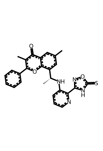 Cc1cc([C@@H](C)Nc2cccnc2-c2noc(=S)[nH]2)c2oc(-c3ccccc3)c(C)c(=O)c2c1